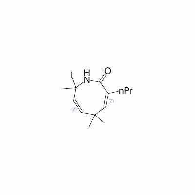 CCC/C1=C/C(C)(C)/C=C\C(C)(I)NC1=O